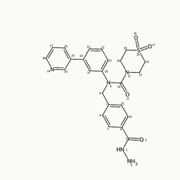 NNC(=O)c1ccc(CN(C(=O)N2CCS(=O)(=O)CC2)c2cccc(-c3cccnc3)c2)cc1